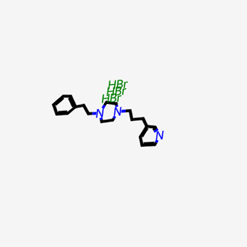 Br.Br.Br.c1ccc(CCN2CCN(CCCc3cccnc3)CC2)cc1